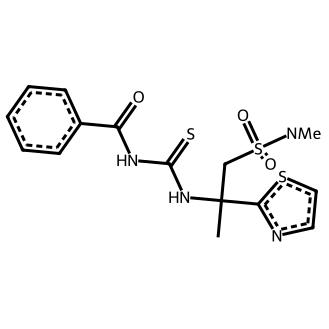 CNS(=O)(=O)CC(C)(NC(=S)NC(=O)c1ccccc1)c1nccs1